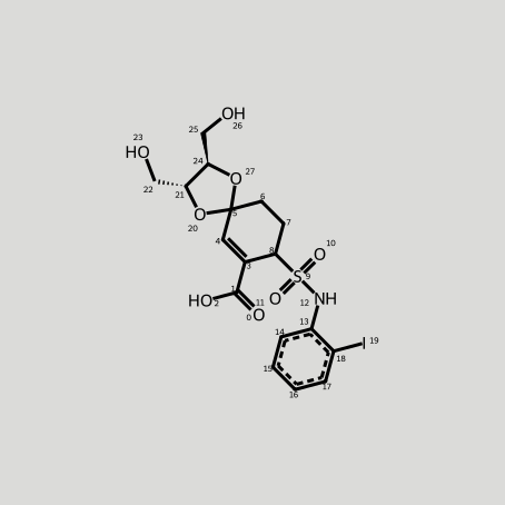 O=C(O)C1=CC2(CCC1S(=O)(=O)Nc1ccccc1I)O[C@H](CO)[C@@H](CO)O2